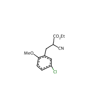 CCOC(=O)C(C#N)Cc1cc(Cl)ccc1OC